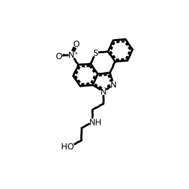 O=[N+]([O-])c1ccc2c3c(nn2CCNCCO)-c2ccccc2Sc13